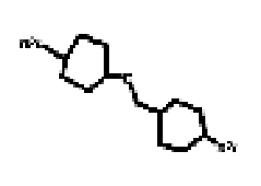 CCCC1CCC(COC2CCC(CCC)CC2)CC1